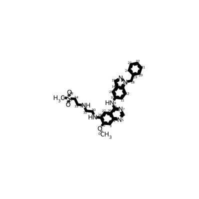 COc1cc2ncnc(Nc3ccc4c(cnn4Cc4ccccc4)c3)c2cc1NCCNCCS(C)(=O)=O